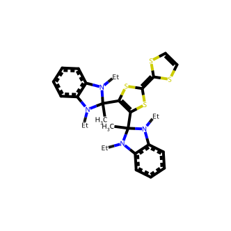 CCN1c2ccccc2N(CC)C1(C)C1=C(C2(C)N(CC)c3ccccc3N2CC)SC(=C2SC=CS2)S1